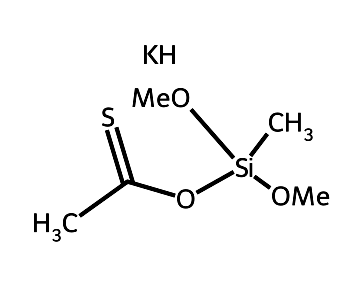 CO[Si](C)(OC)OC(C)=S.[KH]